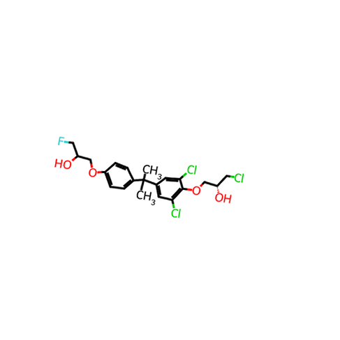 CC(C)(c1ccc(OCC(O)CF)cc1)c1cc(Cl)c(OC[C@@H](O)CCl)c(Cl)c1